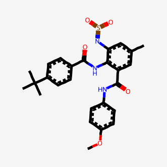 COc1ccc(NC(=O)c2cc(C)cc(N=S(=O)=O)c2NC(=O)c2ccc(C(C)(C)C)cc2)cc1